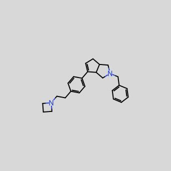 C1=C(c2ccc(CCN3CCC3)cc2)C2CN(Cc3ccccc3)CC2C1